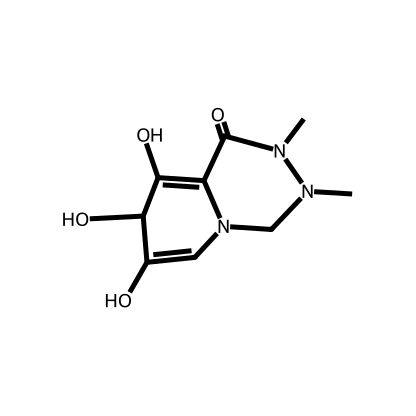 CN1CN2C=C(O)C(O)C(O)=C2C(=O)N1C